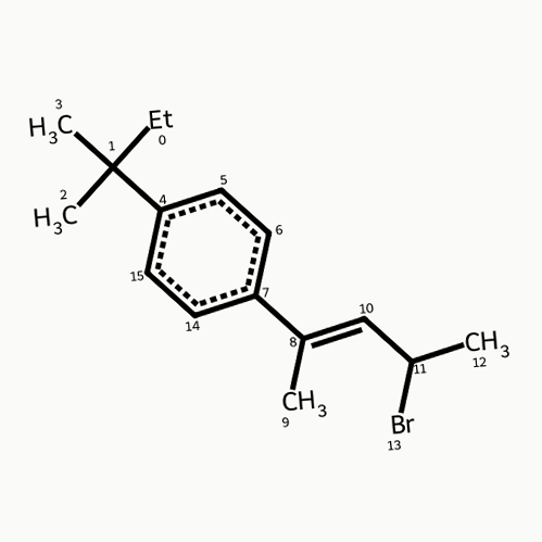 CCC(C)(C)c1ccc(C(C)=CC(C)Br)cc1